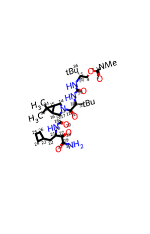 CNC(=O)OC[C@H](NC(=O)N[C@H](C(=O)N1CC2C([C@H]1C(=O)NC(CC1CCC1)C(=O)C(N)=O)C2(C)C)C(C)(C)C)C(C)(C)C